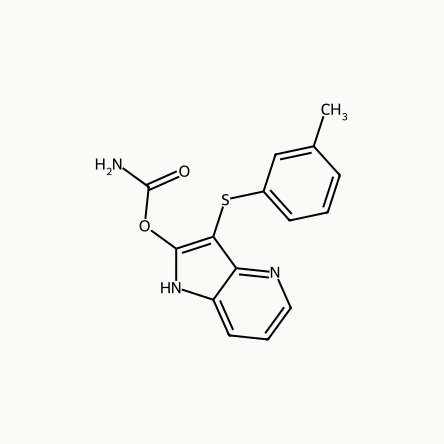 Cc1cccc(Sc2c(OC(N)=O)[nH]c3cccnc23)c1